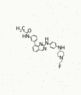 C=CC(=O)Nc1cccc(-c2cccc3cnc(Nc4ccc(NC5CCN(CCF)CC5)cc4)nc23)c1